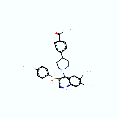 COC(=O)c1ccc(C2CCN(c3c(S(=O)(=O)c4ccc(OC)cc4)cnc4cc(OC)c(OC)cc34)CC2)cc1